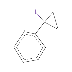 IC1(c2[c]cccc2)CC1